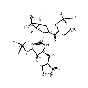 CC[C@@H](OC(F)(F)F)C(=O)N1C[C@H]2[C@@H]([C@H]1C(=O)N[C@@H](C[C@@H]1CCNC1=O)C(=O)COC(F)(F)F)C2(C)C